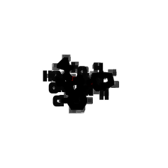 Cc1cc(C(=O)O)cc2sc(N3[C@@H]4CC[C@H]3C[C@H](OC(=O)c3c(-c5c(Cl)cccc5Cl)noc3C3(F)CC3)C4)nc12